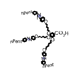 CCCCCc1ccc(/N=N/c2ccc(OCCCCCCOc3cc(C(=O)O)cc(OCCCCCCOc4ccc(/N=N/c5ccc(CCCCC)cc5)cc4)c3OCCCCCCOc3ccc(/N=N/c4ccc(CCCCC)cc4)cc3)cc2)cc1